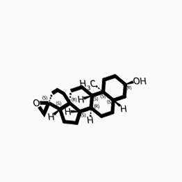 C[C@]12CC[C@@H](O)C[C@@H]1CC[C@@H]1[C@@H]2CC[C@@]23CCC[C@@]4(CO4)[C@H]2CC[C@@H]13